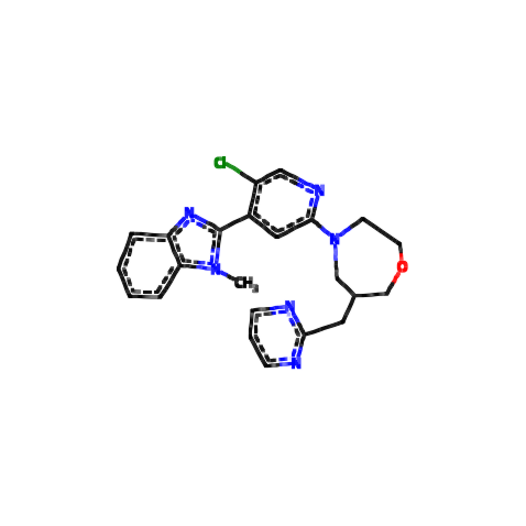 Cn1c(-c2cc(N3CCOCC(Cc4ncccn4)C3)ncc2Cl)nc2ccccc21